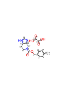 CCc1ccc(COC(=O)N2CCc3[nH]cnc3C2)cc1.O=C(O)C(=O)O